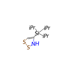 CC(C)[Si](C1=CSSN1)(C(C)C)C(C)C